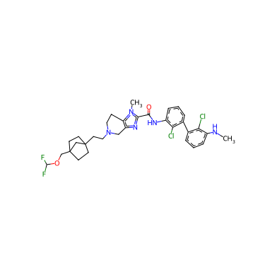 CNc1cccc(-c2cccc(NC(=O)c3nc4c(n3C)CCN(CCC35CCC(COC(F)F)(CC3)C5)C4)c2Cl)c1Cl